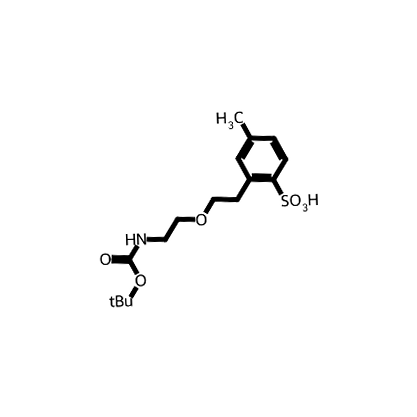 Cc1ccc(S(=O)(=O)O)c(CCOCCNC(=O)OC(C)(C)C)c1